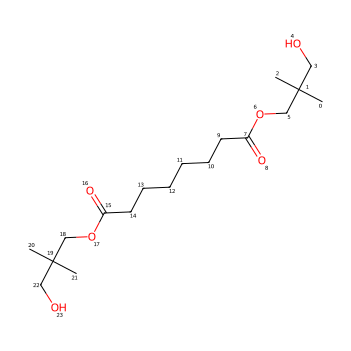 CC(C)(CO)COC(=O)CCCCCCC(=O)OCC(C)(C)CO